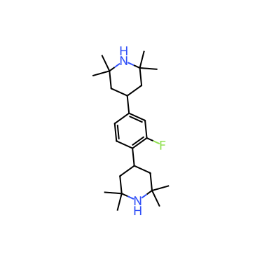 CC1(C)CC(c2ccc(C3CC(C)(C)NC(C)(C)C3)c(F)c2)CC(C)(C)N1